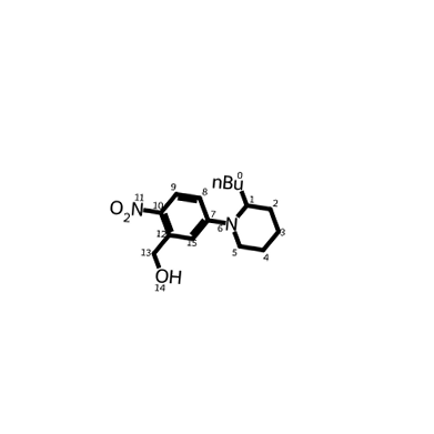 CCCCC1CCCCN1c1ccc([N+](=O)[O-])c(CO)c1